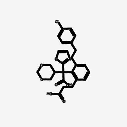 NC(=O)C(c1ncco1)(c1c(CCC(=O)O)cccc1CCc1ccc(Cl)cc1)C1COCOC1